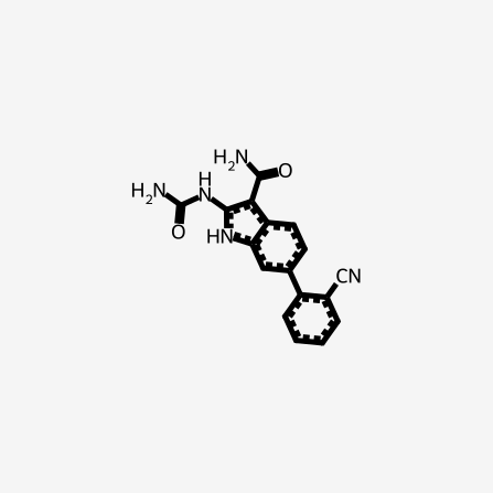 N#Cc1ccccc1-c1ccc2c(C(N)=O)c(NC(N)=O)[nH]c2c1